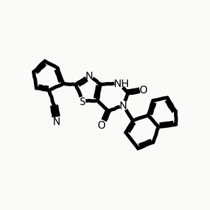 N#Cc1ccccc1-c1nc2[nH]c(=O)n(-c3cccc4ccccc34)c(=O)c2s1